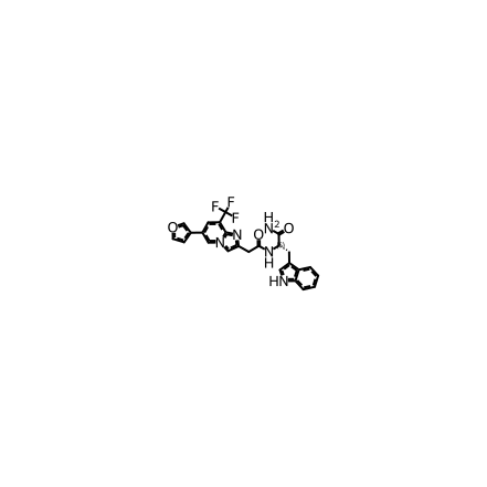 NC(=O)[C@H](Cc1c[nH]c2ccccc12)NC(=O)Cc1cn2cc(-c3ccoc3)cc(C(F)(F)F)c2n1